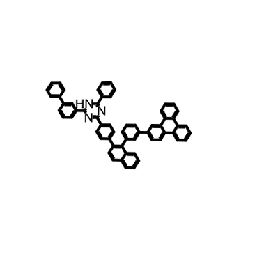 c1ccc(C2=NC(c3ccc(-c4ccc5ccccc5c4-c4cccc(-c5ccc6c7ccccc7c7ccccc7c6c5)c4)cc3)=NC(c3cccc(-c4ccccc4)c3)N2)cc1